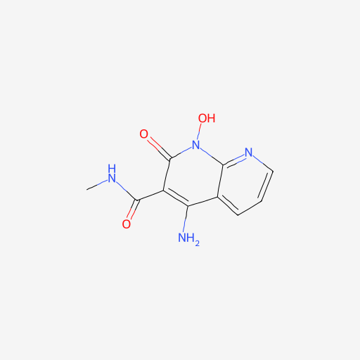 CNC(=O)c1c(N)c2cccnc2n(O)c1=O